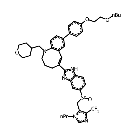 CCCCOCCOc1ccc(-c2ccc3c(c2)/C=C(/c2nc4cc([S+]([O-])Cc5c(C(F)(F)F)ncn5CCC)ccc4[nH]2)CCCN3CC2CCOCC2)cc1